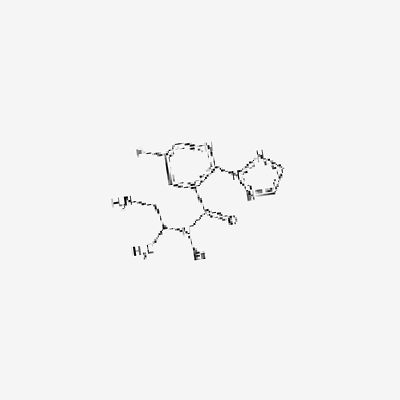 CCN(C(=O)c1cc(F)cnc1-n1nccn1)C(C)CN